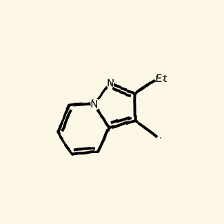 [CH2]c1c(CC)nn2ccccc12